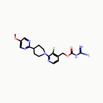 COc1cnc(C2CCN(c3nccc(COC(=O)NC(=N)N)c3F)CC2)nc1